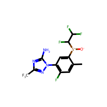 Cc1cc(F)c(-n2nc(C(F)(F)F)nc2N)cc1[S+]([O-])C(F)C(F)F